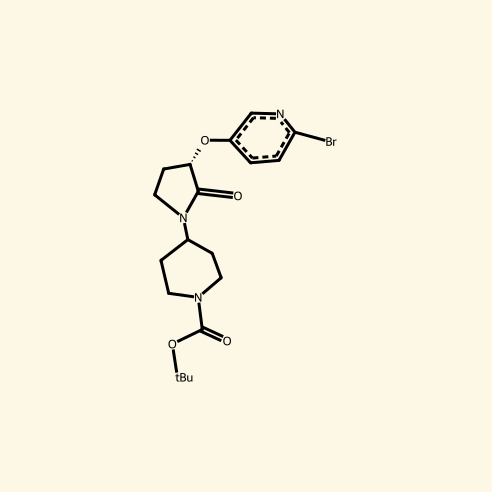 CC(C)(C)OC(=O)N1CCC(N2CC[C@H](Oc3ccc(Br)nc3)C2=O)CC1